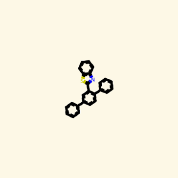 c1ccc(-c2ccc(-c3ccccc3)c(-c3nc4ccccc4s3)c2)cc1